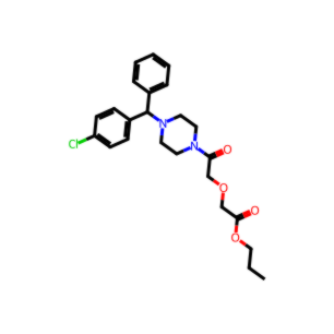 CCCOC(=O)COCC(=O)N1CCN(C(c2ccccc2)c2ccc(Cl)cc2)CC1